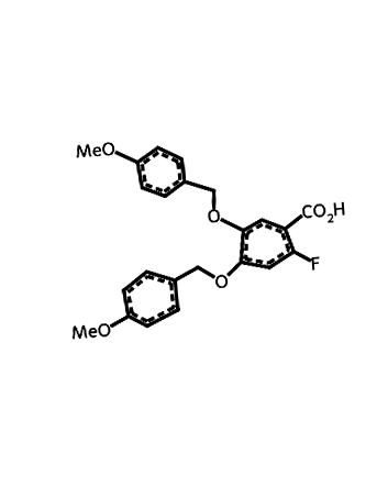 COc1ccc(COc2cc(F)c(C(=O)O)cc2OCc2ccc(OC)cc2)cc1